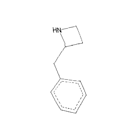 c1ccc(CC2CCN2)cc1